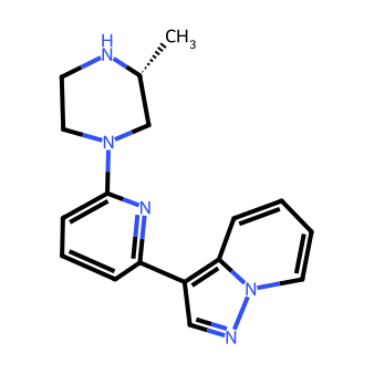 C[C@@H]1CN(c2cccc(-c3cnn4ccccc34)n2)CCN1